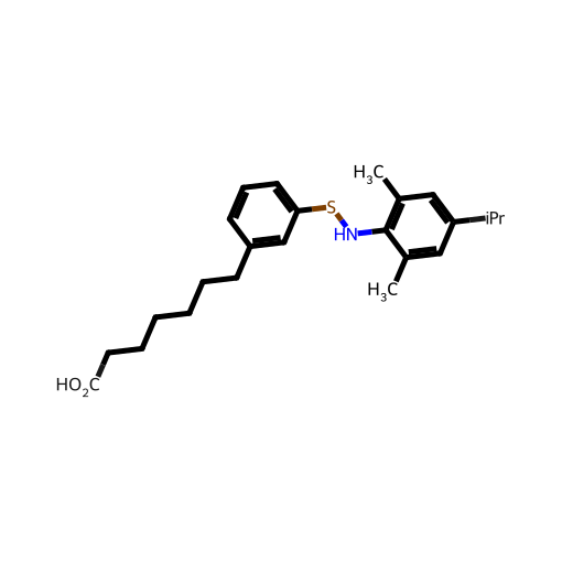 Cc1cc(C(C)C)cc(C)c1NSc1cccc(CCCCCCC(=O)O)c1